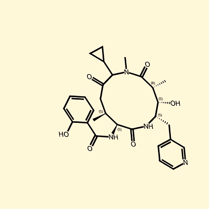 C[C@H]1CC(=O)C(C2CC2)N(C)C(=O)[C@H](C)[C@H](O)[C@H](Cc2cccnc2)NC(=O)[C@H]1NC(=O)c1ccccc1O